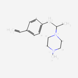 C=Cc1ccc([SiH2]C(C)N2CCN(C)CC2)cc1